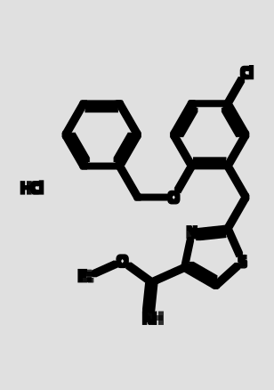 CCOC(=N)c1csc(Cc2cc(Cl)ccc2OCc2ccccc2)n1.Cl